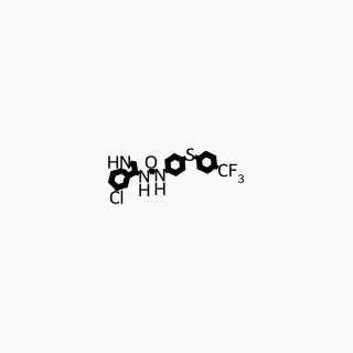 O=C(Nc1ccc(Sc2ccc(C(F)(F)F)cc2)cc1)Nc1c[nH]c2ccc(Cl)cc12